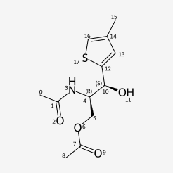 CC(=O)N[C@H](COC(C)=O)[C@H](O)c1cc(C)cs1